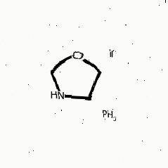 C1COCN1.P.[Ir]